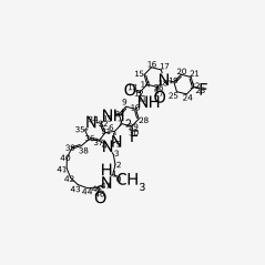 C[C@@H]1CCn2nc(C3C=CC(NC(=O)C4=CCCN(C5=CC=C(F)CC5)C4=O)=CC3F)c3c(N)ncc(c32)/C=C/CCCCCC(=O)N1